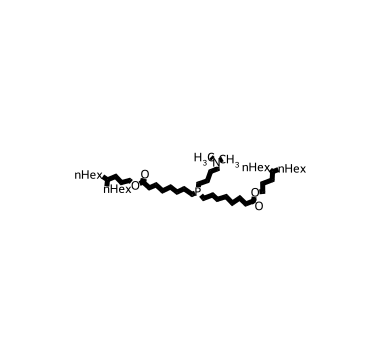 CCCCCCC(CCCCCC)CCCOC(=O)CCCCCCCP(CCCCCCCC(=O)OCCCC(CCCCCC)CCCCCC)CCCCN(C)C